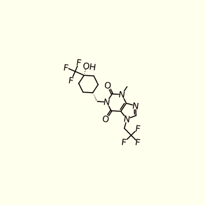 Cn1c(=O)n(C[C@H]2CC[C@](O)(C(F)(F)F)CC2)c(=O)c2c1ncn2CC(F)(F)F